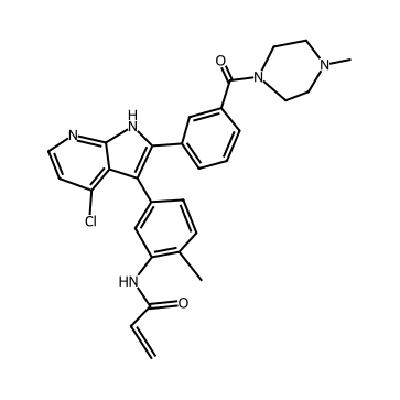 C=CC(=O)Nc1cc(-c2c(-c3cccc(C(=O)N4CCN(C)CC4)c3)[nH]c3nccc(Cl)c23)ccc1C